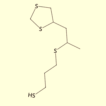 CC(CC1CSCS1)SCCCS